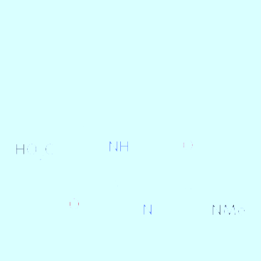 CNC(=O)N(C)C(=O)NC(C(=O)O)c1ccccc1